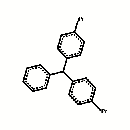 CC(C)c1ccc(C(c2ccccc2)c2ccc(C(C)C)cc2)cc1